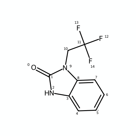 O=c1[nH]c2c[c]ccc2n1CC(F)(F)F